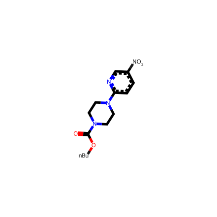 CCCCOC(=O)N1CCN(c2ccc([N+](=O)[O-])cn2)CC1